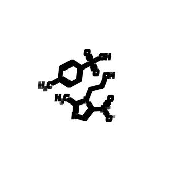 Cc1ccc(S(=O)(=O)O)cc1.Cc1ncc([N+](=O)[O-])n1CCO